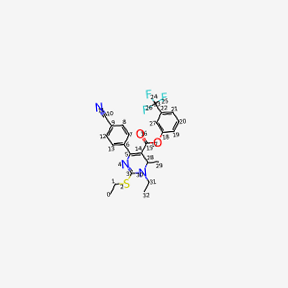 CCSC1=NC(c2ccc(C#N)cc2)=C(C(=O)Oc2cccc(C(F)(F)F)c2)C(C)N1CC